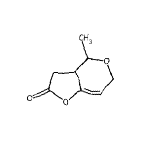 CC1OCC=C2OC(=O)CC21